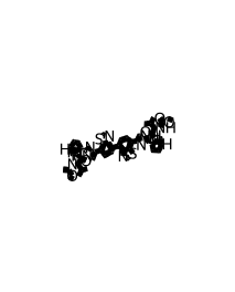 C=C(N[C@H](C(=O)N1C[C@@H]2CC[C@@]1(c1nc(-c3ccc(-c4ccc(-c5c[nH]c([C@@]67CC[C@@H](CN6C(=O)[C@@H](NC(=O)OC)C(C)C)C7)n5)c5scnc45)c4ncsc34)c[nH]1)C2)C(C)C)OC